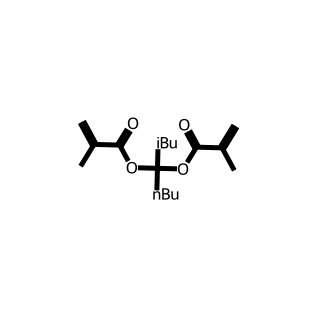 C=C(C)C(=O)OC(CCCC)(OC(=O)C(=C)C)C(C)CC